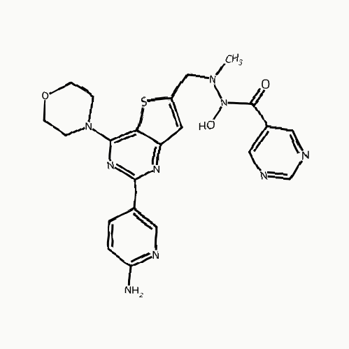 CN(Cc1cc2nc(-c3ccc(N)nc3)nc(N3CCOCC3)c2s1)N(O)C(=O)c1cncnc1